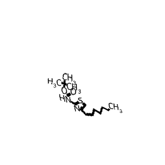 CCCCC/C=C\c1csc(NC(=O)OC(C)(C)C)n1